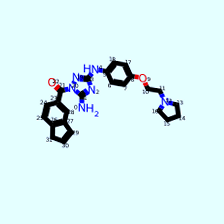 Nc1nc(Nc2ccc(OCCN3CCCC3)cc2)nn1C(=O)c1ccc2c(c1)C=CC2